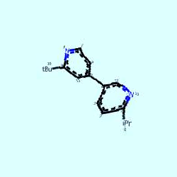 CC(C)c1ccc(-c2ccnc(C(C)(C)C)c2)cn1